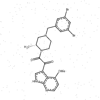 COc1ccnc2[nH]cc(C(=O)C(=O)N3CCN(Cc4cc(Br)cc(Br)c4)C[C@H]3C)c12